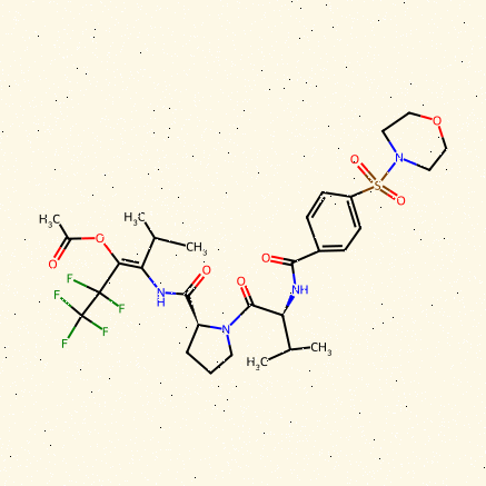 CC(=O)O/C(=C(/NC(=O)[C@@H]1CCCN1C(=O)[C@@H](NC(=O)c1ccc(S(=O)(=O)N2CCOCC2)cc1)C(C)C)C(C)C)C(F)(F)C(F)(F)F